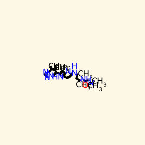 Cc1c(-c2[nH]c3ccc(N[C@@H](C)C[C@H](C)NC(=O)CN(C)C)nc3c2C(C)C)cn2ncnc2c1C